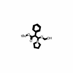 CC(C)(C)OC(=O)C(c1ccccc1)C(OCO)N1C[CH]CC1